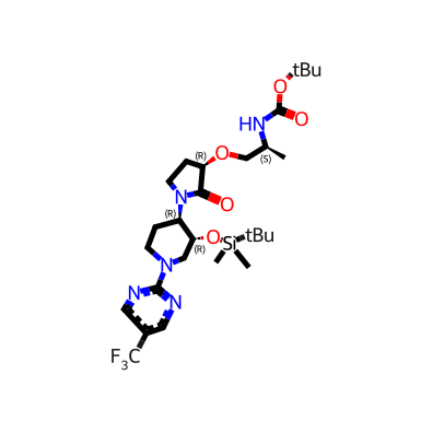 C[C@@H](CO[C@@H]1CCN([C@@H]2CCN(c3ncc(C(F)(F)F)cn3)C[C@H]2O[Si](C)(C)C(C)(C)C)C1=O)NC(=O)OC(C)(C)C